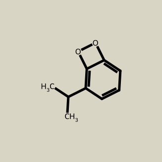 CC(C)c1cccc2ooc12